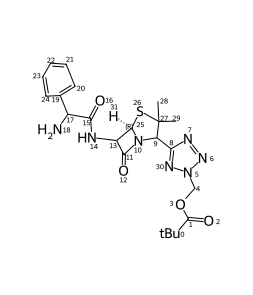 CC(C)(C)C(=O)OCn1nnc(C2N3C(=O)C(NC(=O)C(N)c4ccccc4)[C@H]3SC2(C)C)n1